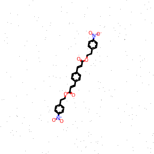 O=C(/C=C/c1ccc(/C=C/C(=O)OCCc2ccc([N+](=O)[O-])cc2)cc1)OCCc1ccc([N+](=O)[O-])cc1